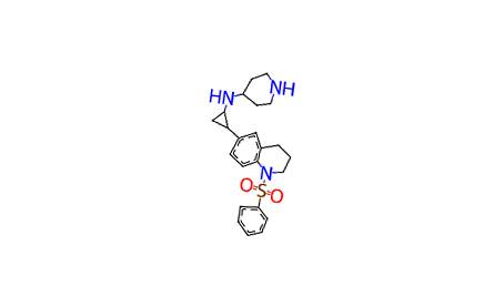 O=S(=O)(c1ccccc1)N1CCCc2cc(C3CC3NC3CCNCC3)ccc21